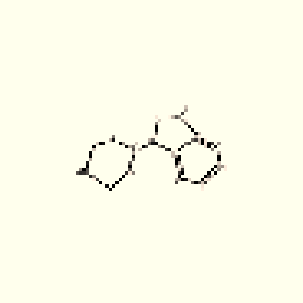 c1ccc2c(c1)OCC2N1CCNCC1